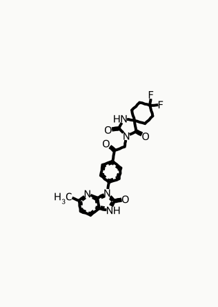 Cc1ccc2[nH]c(=O)n(-c3ccc(C(=O)CN4C(=O)NC5(CCC(F)(F)CC5)C4=O)cc3)c2n1